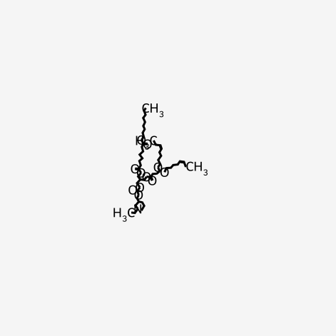 CC/C=C\CCCCOC(CCC(=O)OCC(COC(=O)CCCCCCC(=O)OCCCCCCCCC)COC(=O)OCC1CCCN(CC)C1)OCCCC/C=C\CC